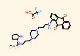 O=C(O)C(F)(F)F.O=CN(CCCN1CCN(CCCNc2cccc3c2C(=O)c2ccccc2C3=O)CC1)[C@H]1CCCN1